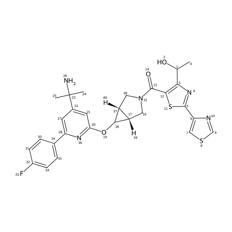 CC(O)c1nc(-c2cscn2)sc1C(=O)N1C[C@@H]2C(Oc3cc(C(C)(C)N)cc(-c4ccc(F)cc4)n3)[C@@H]2C1